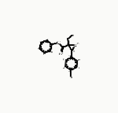 CCC1(C(=O)Oc2ccccc2)OC1c1ccc(C)cc1